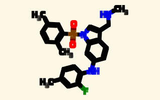 CNCc1cn(S(=O)(=O)c2cc(C)ccc2C)c2cc(Nc3ccc(C)cc3F)ccc12